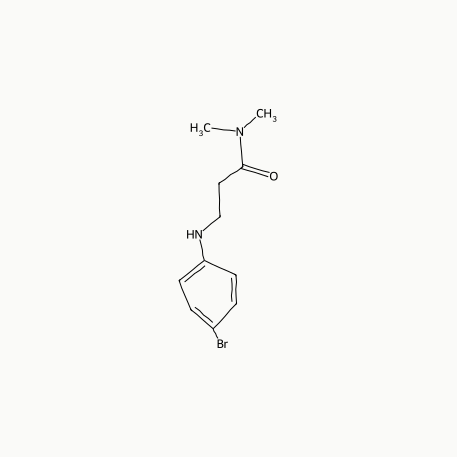 CN(C)C(=O)CCNc1ccc(Br)cc1